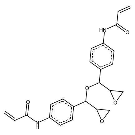 C=CC(=O)Nc1ccc(C(OC(c2ccc(NC(=O)C=C)cc2)C2CO2)C2CO2)cc1